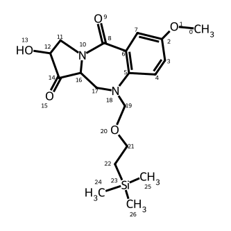 COc1ccc2c(c1)C(=O)N1CC(O)C(=O)C1CN2COCC[Si](C)(C)C